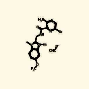 CCn1c(CNC(=O)c2nc(Br)cnc2N)[n+](C)c2ccc(OC(F)(F)F)cc21.O=C[O-]